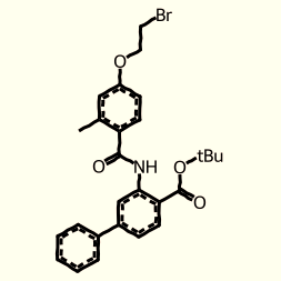 Cc1cc(OCCBr)ccc1C(=O)Nc1cc(-c2ccccc2)ccc1C(=O)OC(C)(C)C